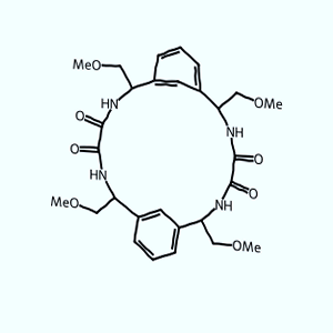 COCC1NC(=O)C(=O)NC(COC)c2cccc(c2)C(COC)NC(=O)C(=O)NC(COC)c2cccc1c2